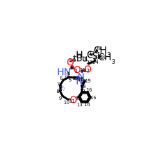 CC(C)(C)OC(=O)N[C@H]1C/C=C\CCOc2ccccc2-c2cn(COCC[Si](C)(C)C)c1n2